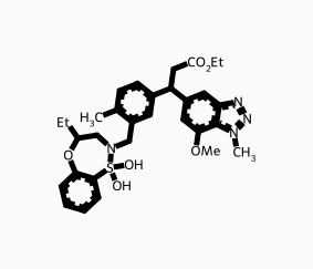 CCOC(=O)CC(c1ccc(C)c(CN2CC(CC)Oc3ccccc3S2(O)O)c1)c1cc(OC)c2c(c1)nnn2C